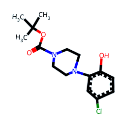 CC(C)(C)OC(=O)N1CCN(c2cc(Cl)ccc2O)CC1